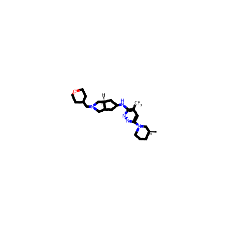 C[C@H]1CCCN(c2cc(C(F)(F)F)c(NC3CC4CN(CC5CCOCC5)C[C@H]4C3)nn2)C1